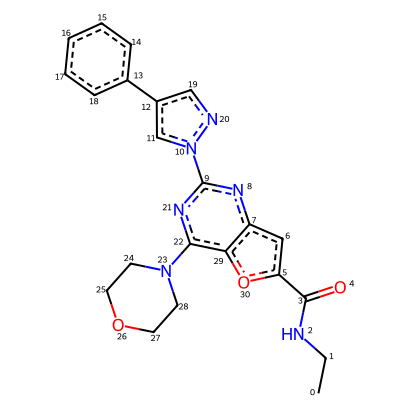 CCNC(=O)c1cc2nc(-n3cc(-c4ccccc4)cn3)nc(N3CCOCC3)c2o1